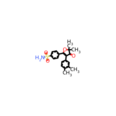 Cc1ccc(C2=C(c3ccc(S(N)(=O)=O)cc3)OC(C)(C)C2=O)cc1C